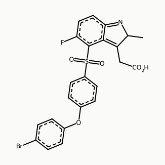 CC1N=c2ccc(F)c(S(=O)(=O)c3ccc(Oc4ccc(Br)cc4)cc3)c2=C1CC(=O)O